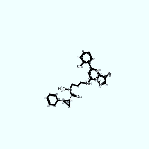 CN(CCCNc1cc(-c2ccccc2Cl)nc2c(Br)cnn12)C(=O)[C@@H]1C[C@H]1C1C=CC=CC1